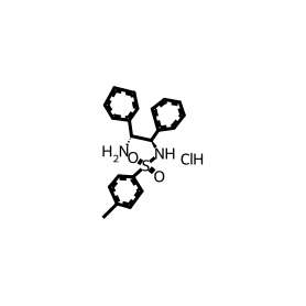 Cc1ccc(S(=O)(=O)N[C@H](c2ccccc2)[C@H](N)c2ccccc2)cc1.Cl